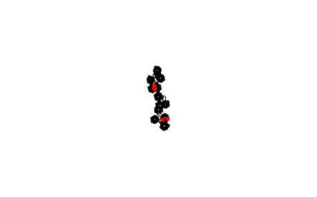 c1ccc(-c2ccccc2N(c2ccc(-c3ccc4c(c3)Oc3cccc5c3c-4cc3ccc(N(c4ccccc4)c4cccc6c4oc4ccccc46)cc35)cc2)c2cccc3c2oc2ccccc23)cc1